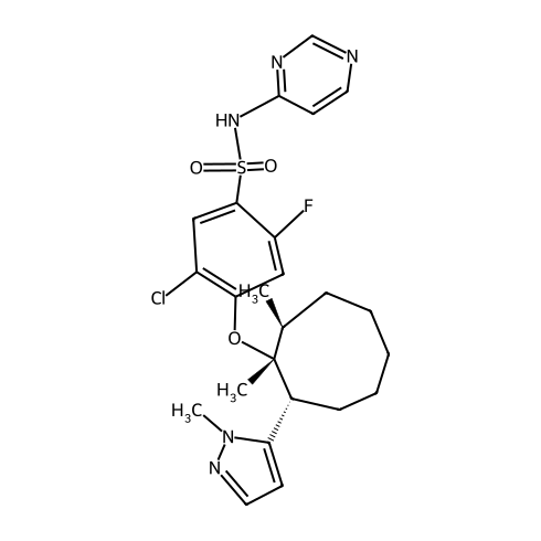 C[C@H]1CCCCC[C@H](c2ccnn2C)[C@]1(C)Oc1cc(F)c(S(=O)(=O)Nc2ccncn2)cc1Cl